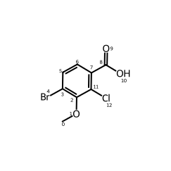 COc1c(Br)ccc(C(=O)O)c1Cl